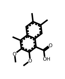 COc1c(OC)c(C(=O)O)c2cc(C)c(C)cc2c1C